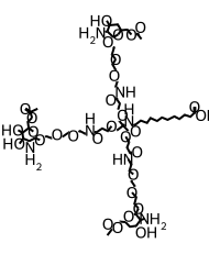 CC(=O)OCC1CC(O)C(N)C(OCCOCCOCCNC(=O)CCOCC(COCCC(=O)NCCOCCOCCOC2OC(COC(C)=O)CC(O)C2N)(COCCC(=O)NCCOCCOCCOC2OC(COC(C)=O)C(O)C(O)C2N)NC(=O)CCCCCCCCCCC(=O)O)O1